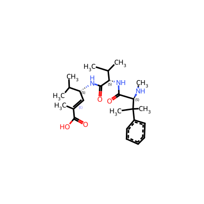 CN[C@H](C(=O)N[C@H](C(=O)N[C@H](/C=C(\C)C(=O)O)C(C)C)C(C)C)C(C)(C)c1ccccc1